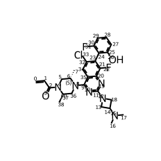 C=CC(=O)N1C[C@H](C)N(c2nc(N3CC(N(C)C)C3)nc3c(F)c(-c4c(O)cccc4F)c(Cl)cc23)C[C@H]1C